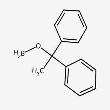 BOC(C)(c1ccccc1)c1ccccc1